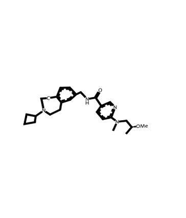 CO[C@@H](C)CN(C)c1ccc(C(=O)NCc2ccc3c(c2)CCN(C2CCC2)CC3)cn1